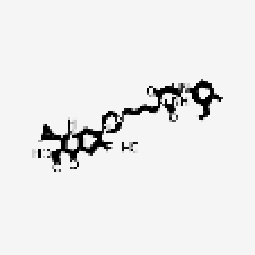 CCc1cc(Nc2cc(=O)n(CCCCN3CCN(c4cc5[nH]c(C6CC6)c(C(=O)O)c(=O)c5cc4F)CC3)c(=O)[nH]2)ccc1C.Cl